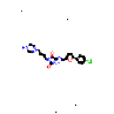 O=C1NC(N=Cc2ccc(-c3ccc(Cl)cc3)o2)C(=O)N1CCCCN1CCNCC1